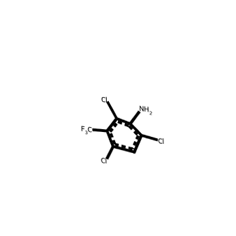 Nc1c(Cl)cc(Cl)c(C(F)(F)F)c1Cl